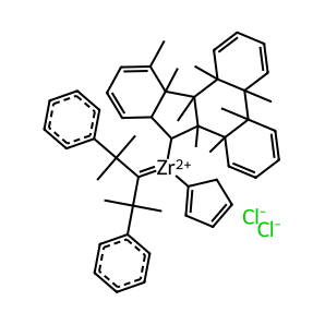 CC1=CC=CC2[CH]([Zr+2]([C]3=CC=CC3)=[C](C(C)(C)c3ccccc3)C(C)(C)c3ccccc3)C3(C)C4(C)C=CC=CC4(C)C4(C)C=CC=CC4(C)C3(C)C12C.[Cl-].[Cl-]